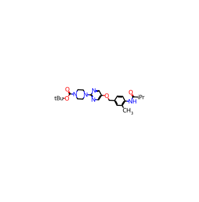 Cc1cc(COc2cnc(N3CCN(C(=O)OC(C)(C)C)CC3)nc2)ccc1NC(=O)C(C)C